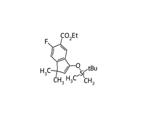 CCOC(=O)c1cc2c(cc1F)C(C)(C)C=C2O[Si](C)(C)C(C)(C)C